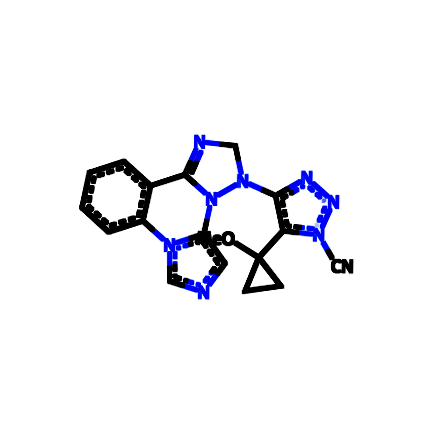 COC1(c2c(N3CN=C4c5ccccc5-n5cncc5N43)nnn2C#N)CC1